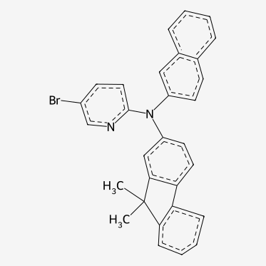 CC1(C)c2ccccc2-c2ccc(N(c3ccc4ccccc4c3)c3ccc(Br)cn3)cc21